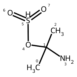 CC(C)(N)O[SH](=O)=O